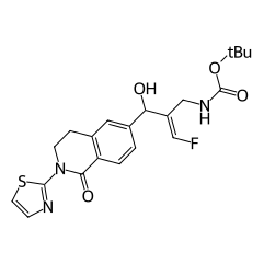 CC(C)(C)OC(=O)NCC(=CF)C(O)c1ccc2c(c1)CCN(c1nccs1)C2=O